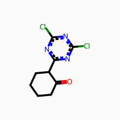 O=C1CCCCC1c1nc(Cl)nc(Cl)n1